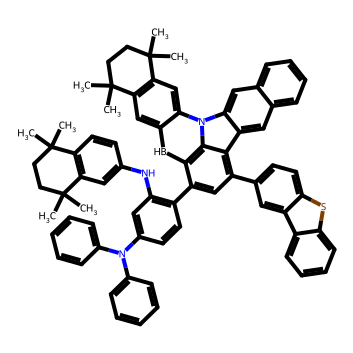 CC1(C)CCC(C)(C)c2cc(Nc3cc(N(c4ccccc4)c4ccccc4)ccc3-c3cc(-c4ccc5sc6ccccc6c5c4)c4c5cc6ccccc6cc5n5c4c3Bc3cc4c(cc3-5)C(C)(C)CCC4(C)C)ccc21